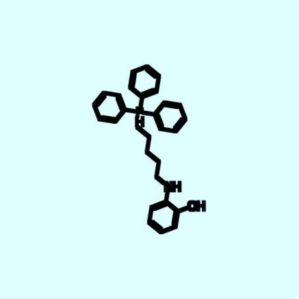 Oc1ccccc1NCCCCC[PH](c1ccccc1)(c1ccccc1)c1ccccc1